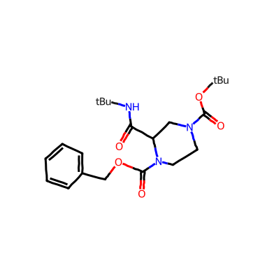 CC(C)(C)NC(=O)C1CN(C(=O)OC(C)(C)C)CCN1C(=O)OCc1ccccc1